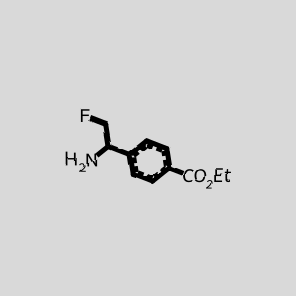 CCOC(=O)c1ccc(C(N)CF)cc1